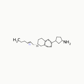 CCC/C=C/C[C@@H]1CCc2cc(C3CCC(N)C3)ccc2C1